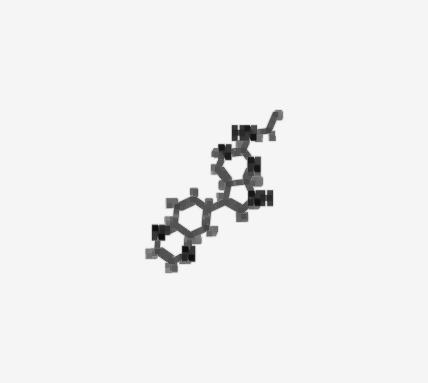 CCNc1ncc2c(-c3ccc4nccnc4c3)c[nH]c2n1